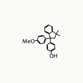 COc1ccc(C2(c3ccc(O)cc3)CC(C)(C)c3ccccc32)cc1